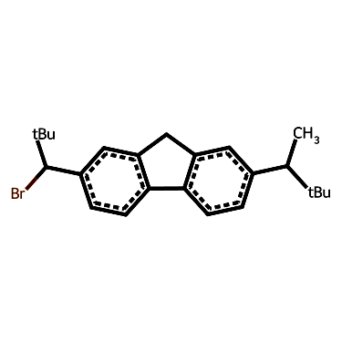 CC(c1ccc2c(c1)Cc1cc(C(Br)C(C)(C)C)ccc1-2)C(C)(C)C